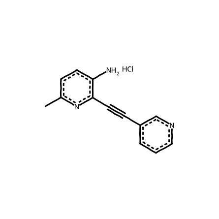 Cc1ccc(N)c(C#Cc2cccnc2)n1.Cl